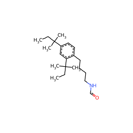 CCC(C)(C)c1ccc(CCCCNC=O)c(C(C)(C)CC)c1